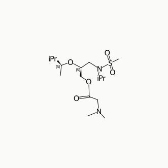 CC(C)[C@H](C)O[C@H](COC(=O)CN(C)C)CN(C(C)C)S(C)(=O)=O